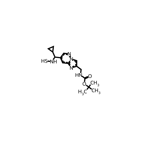 CC(C)(C)OC(=O)NCc1cn2ncc(C(NS)C3CC3)cc2n1